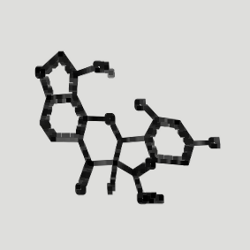 COC(=O)C1(F)C(=O)c2ccc3occ(C)c3c2OC1c1ccc(Cl)cc1Cl